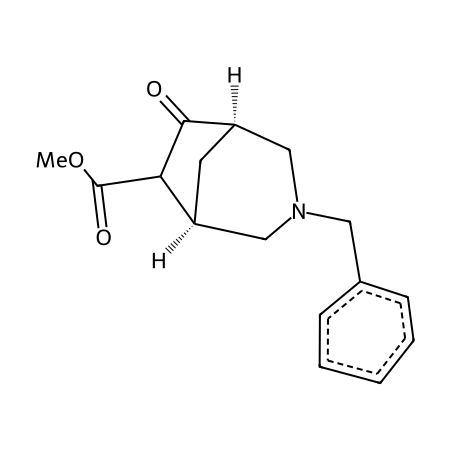 COC(=O)C1C(=O)[C@@H]2C[C@H]1CN(Cc1ccccc1)C2